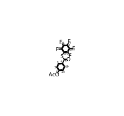 CC(=O)Oc1ccc(C(=O)Sc2c(F)c(F)c(F)c(F)c2F)cc1